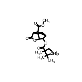 CCC(C)(C(=O)OC1C2CC3C1OC(=O)C3C2C(=O)OC)C(C)(C)C